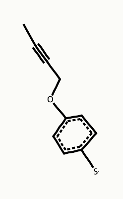 CC#CCOc1ccc([S])cc1